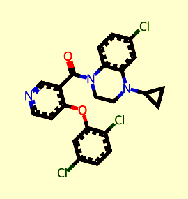 O=C(c1cnccc1Oc1cc(Cl)ccc1Cl)N1CCN(C2CC2)c2cc(Cl)ccc21